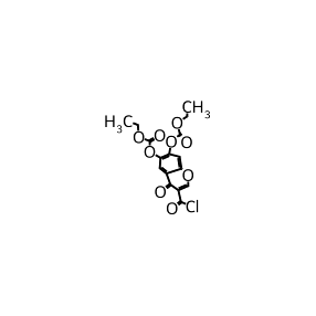 CCOC(=O)Oc1cc2occ(C(=O)Cl)c(=O)c2cc1OC(=O)OCC